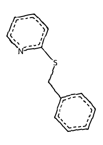 c1ccc(CSc2ccccn2)cc1